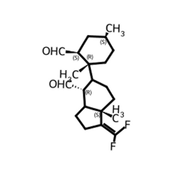 C[C@H]1CC[C@](C)(C2CC[C@]3(C)C(=C(F)F)CCC3[C@@H]2C=O)[C@@H](C=O)C1